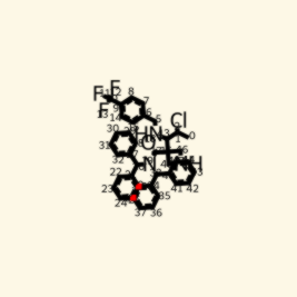 CC(Cl)C(NCc1ccc(C(F)(F)F)cc1)C1(C(=O)N(C(c2ccccc2)c2ccccc2)C(c2ccccc2)c2ccccc2)CNC1